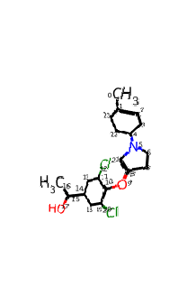 CC1=CCC(N2CCC(OC3C(Cl)CC(C(C)O)CC3Cl)C2)CC1